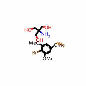 COc1cc(OC)c(Br)c(OC)c1.NC(CO)(CO)CO.P